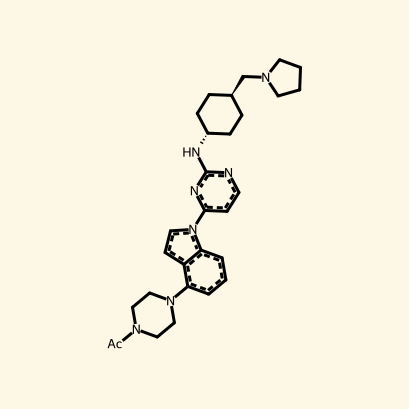 CC(=O)N1CCN(c2cccc3c2ccn3-c2ccnc(N[C@H]3CC[C@H](CN4CCCC4)CC3)n2)CC1